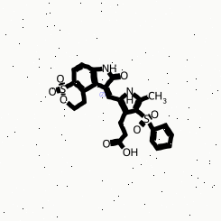 Cc1[nH]c(/C=C2\C(=O)Nc3ccc4c(c32)CCOS4(=O)=O)c(CCC(=O)O)c1S(=O)(=O)c1ccccc1